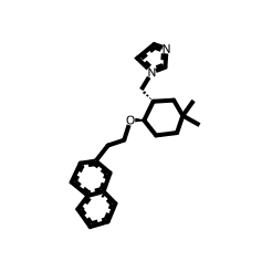 CC1(C)CC[C@@H](OCCc2ccc3ccccc3c2)[C@H](Cn2ccnc2)C1